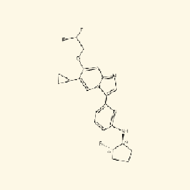 FC(F)COc1cc2ncc(-c3cccc(N[C@H]4CCC[C@@H]4F)n3)n2cc1C1CC1